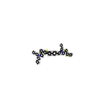 c1ccc(-c2ccc3c(c2)c2cc(-c4ccccc4)ccc2n3-c2cccc3c2sc2cccc(-c4ccc5c(c4)sc4cc(-c6ccc(-c7ccc8c(c7)c7cc(-c9ccccc9)ccc7n8-c7cccc8c7sc7cccc(-c9ccc%10sc%11ccccc%11c%10c9)c78)cc6)ccc45)c23)cc1